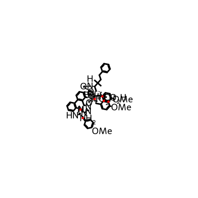 COc1ccc(CN(Cc2ccc(OC)cc2)S(=O)(=O)c2c(S(=O)(=O)N[C@H]([C@H](CNC(=O)O)NC(=O)O)C(C)(C)CCc3ccccc3)ccc(-c3cccc4[nH]c(N)nc34)c2-c2nnn(Cc3ccc(OC)cc3)n2)cc1